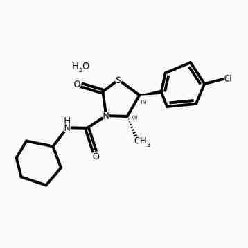 C[C@H]1[C@H](c2ccc(Cl)cc2)SC(=O)N1C(=O)NC1CCCCC1.O